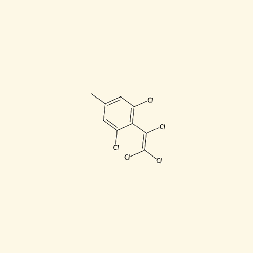 Cc1cc(Cl)c(C(Cl)=C(Cl)Cl)c(Cl)c1